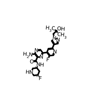 CC(C)(O)Cn1cc(-c2cc(-c3cnc(N)c(C(=O)N[C@@H]4CNC[C@@H](F)C4)n3)c(F)cn2)cn1